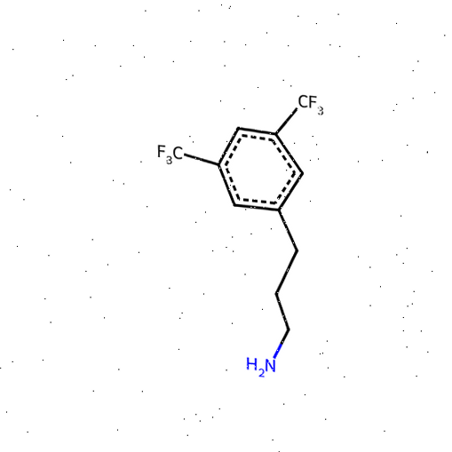 NCCCc1cc(C(F)(F)F)cc(C(F)(F)F)c1